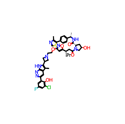 Cc1ncsc1-c1ccc([C@H](C)NC(=O)[C@@H]2C[C@@H](O)CN2C(=O)C[C@@H](c2cc(OCCN3CC(c4[nH]c5nnc(-c6cc(F)cc(Cl)c6O)cc5c4C)C3)no2)C(C)C)cc1